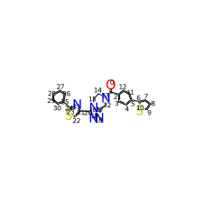 O=C(c1ccc(-c2cccs2)cc1)N1CCn2c(nnc2-c2csc(-c3ccccc3)n2)C1